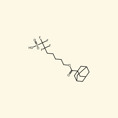 O=C(OCCCCCC(F)(F)C(F)(F)S(=O)(=O)O)C12CC3CC(CC(C3)C1)C2